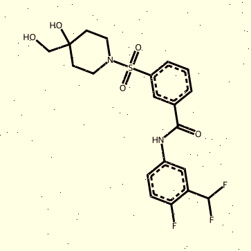 O=C(Nc1ccc(F)c(C(F)F)c1)c1cccc(S(=O)(=O)N2CCC(O)(CO)CC2)c1